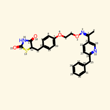 C/C(=N/OCCOc1ccc(CC2SC(=O)NC2=O)cc1)c1ccc(Cc2ccccc2)nc1